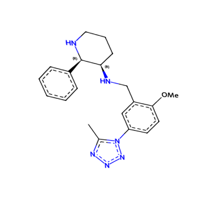 COc1ccc(-n2nnnc2C)cc1CN[C@@H]1CCCN[C@@H]1c1ccccc1